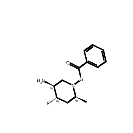 C[C@H]1C[C@H](F)[C@@H](N)CN1OC(=O)c1ccccc1